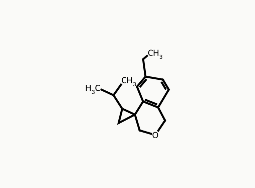 CCc1ccc2c(c1)C1(COC2)CC1C(C)C